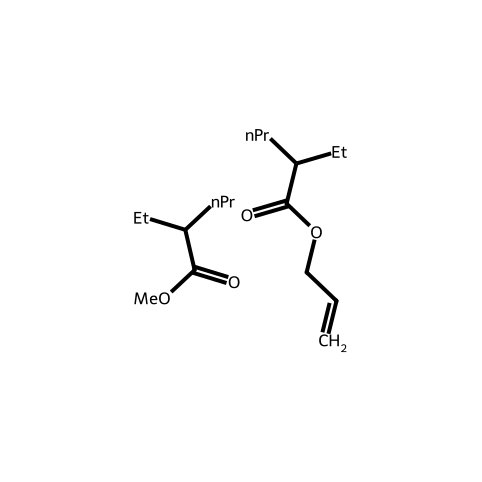 C=CCOC(=O)C(CC)CCC.CCCC(CC)C(=O)OC